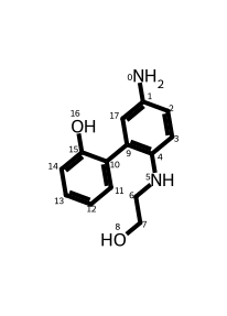 Nc1ccc(NCCO)c(-c2ccccc2O)c1